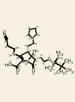 CC(C)(C)[Si](C)(C)OCC[C@@H]1C(=O)N2C(C(=O)O)=C(SCCC#N)[C@H](CCN3CCCC3)[C@H]12